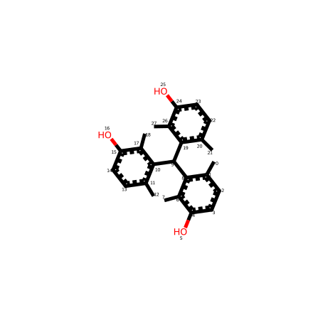 Cc1ccc(O)c(C)c1C(c1c(C)ccc(O)c1C)c1c(C)ccc(O)c1C